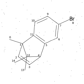 CC12C=CC(c3cc(Br)ccc31)C2(C)C